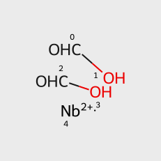 O=[C-]O.O=[C-]O.[Nb+2]